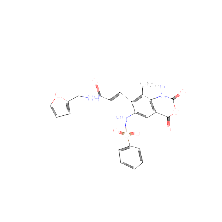 COc1c(C=CC(=O)NCc2ccco2)c(NS(=O)(=O)c2ccccc2)cc2c(=O)oc(=O)[nH]c12